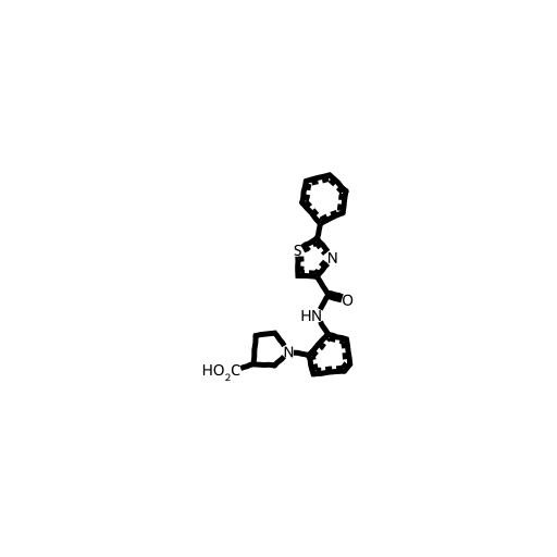 O=C(Nc1ccccc1N1CCC(C(=O)O)C1)c1csc(-c2ccccc2)n1